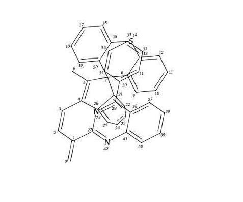 C=C(/C=C\C1=C(C)C2(c3ccccc3Sc3ccccc32)c2ccccc21)c1nc(-c2ccccc2)c2ccccc2n1